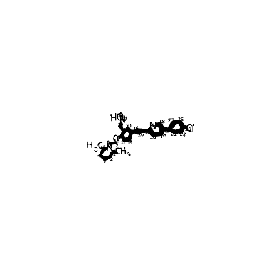 CC1CCCC(C)N1CCOc1ccc(C#Cc2ccc(-c3ccc(Cl)cc3)cn2)cc1C=NO